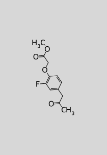 COC(=O)COc1ccc(CC(C)=O)cc1F